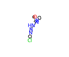 Clc1ccc(N2CCN(CCNCc3cc(-c4ccco4)n(-c4ccccc4)n3)CC2)cc1